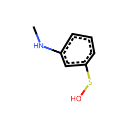 CNc1cccc(SO)c1